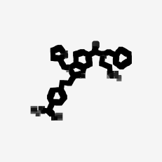 N=C(N)c1ccc(CCc2nc3cc(C(=O)N(CCN)Cc4ccccc4)ccc3n2Cc2cccs2)cc1